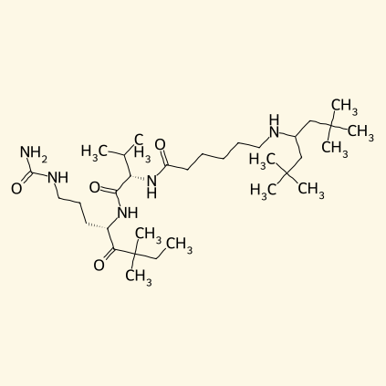 CCC(C)(C)C(=O)[C@H](CCCNC(N)=O)NC(=O)[C@@H](NC(=O)CCCCCNC(CC(C)(C)C)CC(C)(C)C)C(C)C